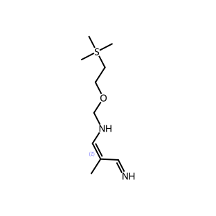 C/C(C=N)=C/NCOCCS(C)(C)C